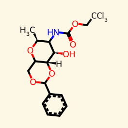 C[C@@H]1OC2COC(c3ccccc3)O[C@H]2[C@H](O)C1NC(=O)OCC(Cl)(Cl)Cl